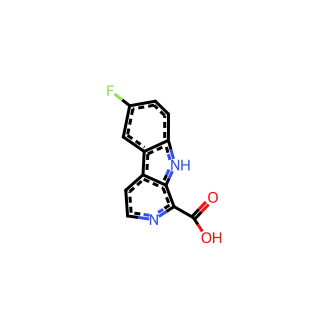 O=C(O)c1nccc2c1[nH]c1ccc(F)cc12